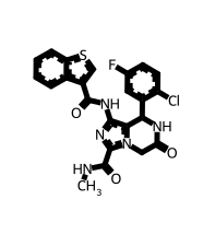 CNC(=O)c1nc(NC(=O)c2csc3ccccc23)c2n1CC(=O)NC2c1cc(F)ccc1Cl